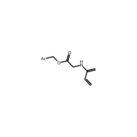 C=CC(=C)NCC(=O)OCC(C)=O